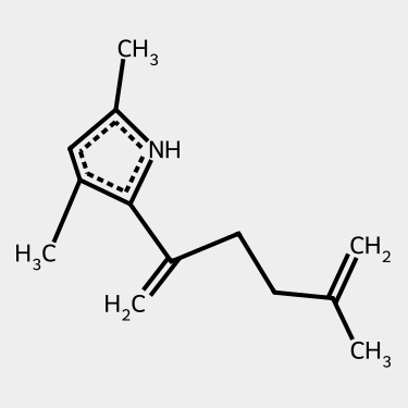 C=C(C)CCC(=C)c1[nH]c(C)cc1C